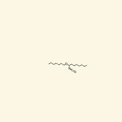 CCCCCCCOC(CCCCCCC)N=C=O